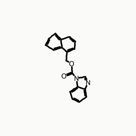 O=C(OCc1cccc2ccccc12)n1cnc2ccccc21